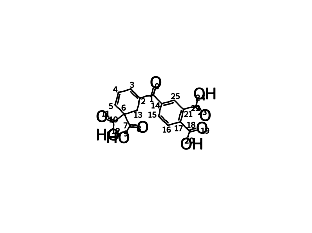 O=C(C1=CC=CC(C(=O)O)(C(=O)O)C1)c1ccc(C(=O)O)c(C(=O)O)c1